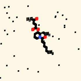 CCCCCCC(=O)N1CCC[C@H](OC(=O)CCC(C)=O)[C@@H]1CC